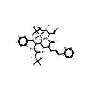 CC[C@H](C)[C@@H](C=O)NC(=O)C(CC=Cc1ccccc1)CC(O[Si](C)(C)C(C)(C)C)C(Cc1ccccc1)NC(=O)OC(C)(C)C